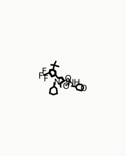 Cc1c(S(=O)(=O)NCC2CCOCC2)cc(-c2cc(C(C)(C)C)cc(C(F)(F)F)c2)n1CC1CCCCC1